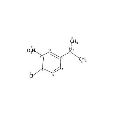 C[SH](C)c1ccc(Cl)c([N+](=O)[O-])c1